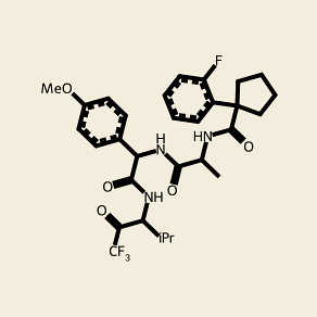 COc1ccc(C(NC(=O)C(C)NC(=O)C2(c3ccccc3F)CCCC2)C(=O)NC(C(=O)C(F)(F)F)C(C)C)cc1